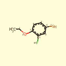 CCOc1ccc(S)cc1F